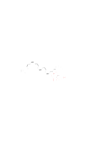 CC/C=C\C/C=C\C/C=C\C/C=C\C/C=C\C/C=C\CC(CCC)C(=O)OC(CO)CO